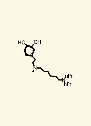 CCCN(CCC)CCCCCCN(C)CCc1ccc(O)c(O)c1